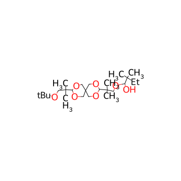 CCC(C)(C)C(O)OCC(C)(C)C1OCC2(CO1)COC(C(C)(C)COC(C)(C)C)OC2